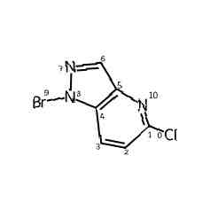 Clc1ccc2c(cnn2Br)n1